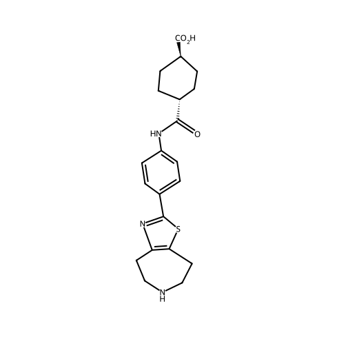 O=C(O)[C@H]1CC[C@H](C(=O)Nc2ccc(-c3nc4c(s3)CCNCC4)cc2)CC1